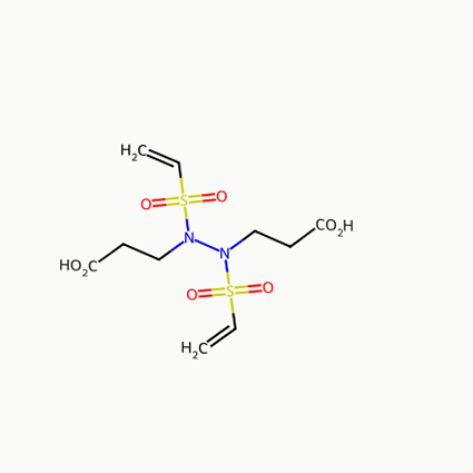 C=CS(=O)(=O)N(CCC(=O)O)N(CCC(=O)O)S(=O)(=O)C=C